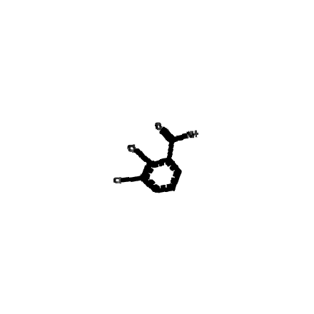 [NH]C(=O)c1cccc(Cl)c1Cl